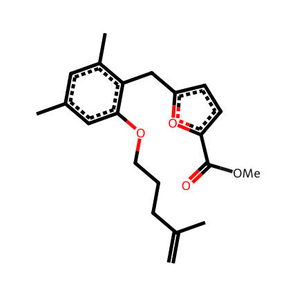 C=C(C)CCCOc1cc(C)cc(C)c1Cc1ccc(C(=O)OC)o1